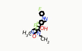 C=CCn1cc(C(O)(c2ccc3c(cnn3-c3ccc(F)cc3)c2)C(F)(F)F)c2ccn(C)c(=O)c21